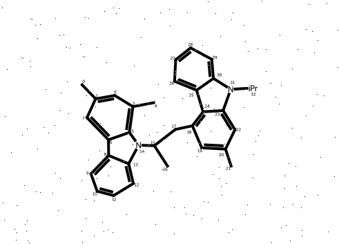 Cc1cc(C)c2c(c1)c1ccccc1n2C(C)Cc1cc(C)cc2c1c1ccccc1n2C(C)C